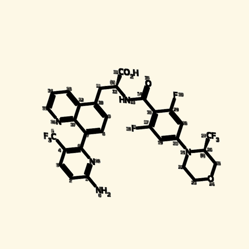 Nc1ccc(C(F)(F)F)c(-c2ccc(C[C@H](NC(=O)c3c(F)cc(N4CCOC[C@@H]4C(F)(F)F)cc3F)C(=O)O)c3cccnc23)n1